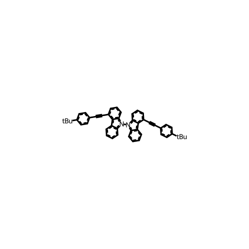 CC(C)(C)c1ccc(C#Cc2cccc3c2c2ccccc2n3-n2c3ccccc3c3c(C#Cc4ccc(C(C)(C)C)cc4)cccc32)cc1